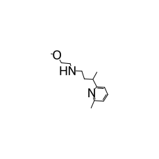 COCCNCCC(C)c1cccc(C)n1